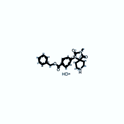 CN1C(=O)N(c2ccc(C(=O)OCc3ccccc3)cc2)C2(CCNCC2)C1=O.Cl